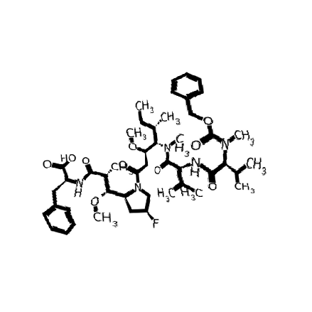 CC[C@H](C)[C@@H]([C@@H](CC(=O)N1C[C@@H](F)C[C@H]1[C@H](OC)[C@@H](C)C(=O)N[C@@H](Cc1ccccc1)C(=O)O)OC)N(C)C(=O)[C@@H](NC(=O)[C@H](C(C)C)N(C)C(=O)OCc1ccccc1)C(C)C